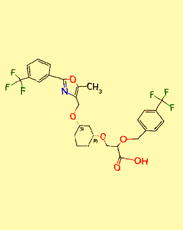 Cc1oc(-c2cccc(C(F)(F)F)c2)nc1CO[C@H]1CCC[C@@H](OCC(OCc2ccc(C(F)(F)F)cc2)C(=O)O)C1